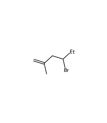 C=C(C)CC(Br)CC